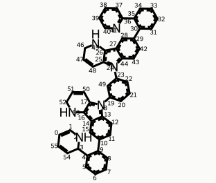 C1=CNC(c2ccccc2-c2ccc3c(c2)c2c(n3-c3cccc(-n4c5c(c6cc(-c7ccccc7-c7ccccn7)ccc64)NCC=C5)c3)C=CCN2)C=C1